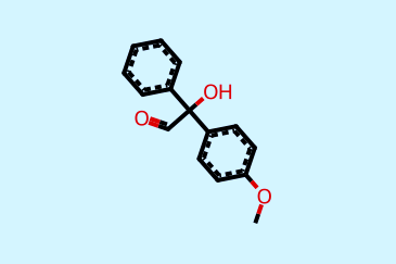 COc1ccc(C(O)(C=O)c2ccccc2)cc1